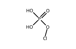 O=P(O)(O)OCl